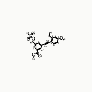 CCc1cc(OC)ccc1C#Cc1cc(COS(C)(=O)=O)nc(C(=O)OC)c1